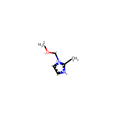 COCn1ccnc1C